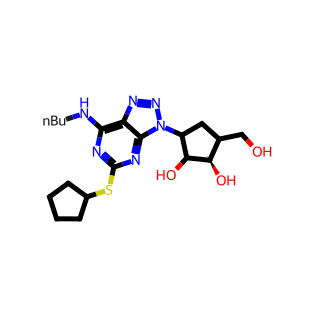 CCCCNc1nc(SC2CCCC2)nc2c1nnn2C1CC(CO)[C@@H](O)C1O